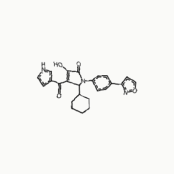 O=C(C1=C(O)C(=O)N(c2ccc(-c3ccon3)cc2)C1C1CCCCC1)c1cc[nH]c1